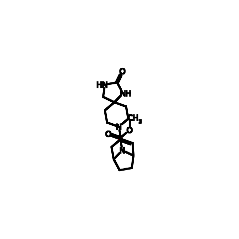 COC(=O)N1C2C=C(N3CCC4(CC3)CNC(=O)N4)CC1CC2